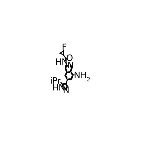 CC(C)c1[nH]ncc1-c1cc(N)c2cnc(NC(=O)C3CC3F)cc2c1